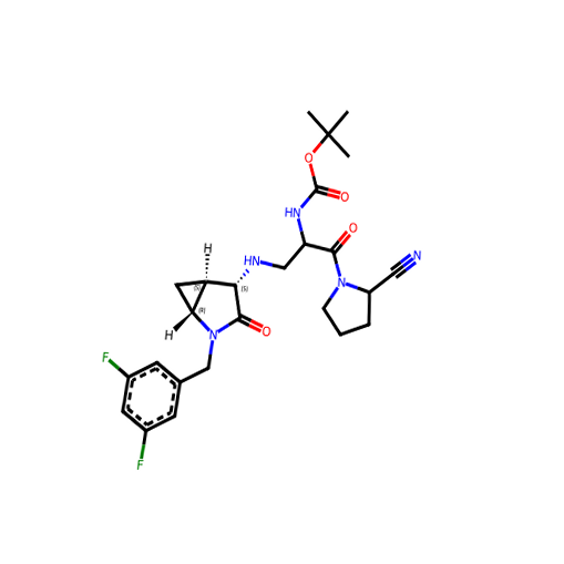 CC(C)(C)OC(=O)NC(CN[C@@H]1C(=O)N(Cc2cc(F)cc(F)c2)[C@@H]2C[C@@H]12)C(=O)N1CCCC1C#N